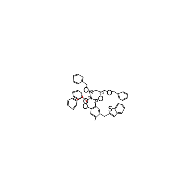 Cc1cc(OCc2ccccc2)c([C@@H]2O[C@H](COCc3ccccc3)C[C@H](OCc3ccccc3)[C@H]2OCc2ccccc2)cc1Cc1cc2ccccc2s1